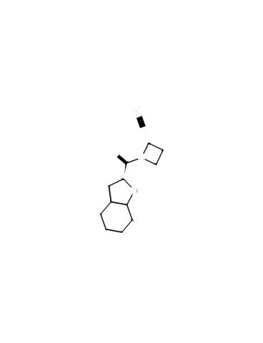 N#C[C@@H]1CCN1C(=O)[C@@H]1CC2CCCCC2N1